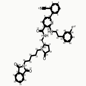 N#Cc1ccccc1-c1ccc(C(=O)NC[C@H]2CCC(=O)N2CCCCCN2C(=O)c3ccccc3C2=O)c(NCCc2cccc(F)c2)n1